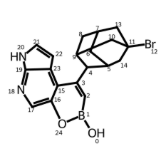 OB1C=C(C2C3CC4CC2CC(Br)(C4)C3)c2c(cnc3[nH]ccc23)O1